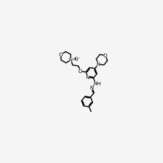 Cc1cccc(/C=N/Nc2cc(N3CCOCC3)cc(OCC[N+]3([O-])CCOCC3)n2)c1